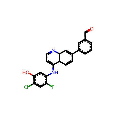 O=Cc1cccc(C2=CC3N=CC=C(Nc4cc(O)c(Cl)cc4F)C3C=C2)c1